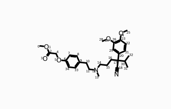 COC(=O)COc1ccc(CCN(C)CCCC(C#N)(c2ccc(OC)c(OC)c2)C(C)C)cc1